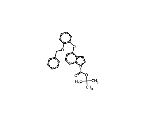 CC(C)(C)OC(=O)n1ccc2c(Oc3ccccc3OCc3ccccc3)cccc21